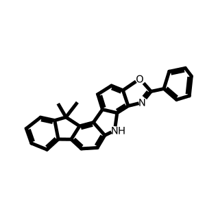 CC1(C)c2ccccc2-c2ccc3[nH]c4c(ccc5oc(-c6ccccc6)nc54)c3c21